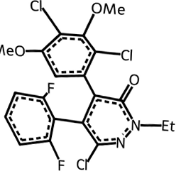 CCn1nc(Cl)c(-c2c(F)cccc2F)c(-c2cc(OC)c(Cl)c(OC)c2Cl)c1=O